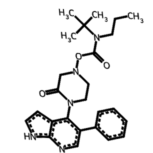 CCCN(C(=O)ON1CCN(c2c(-c3ccccc3)cnc3[nH]ccc23)C(=O)C1)C(C)(C)C